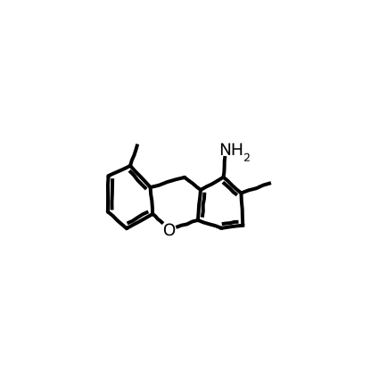 Cc1ccc2c(c1N)Cc1c(C)cccc1O2